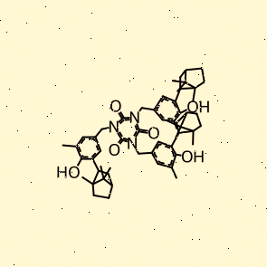 Cc1cc(Cn2c(=O)n(Cc3cc(C)c(O)c(C4CC5CCC4(C)C5(C)C)c3)c(=O)n(Cc3cc(C)c(O)c(C4CC5CCC4(C)C5(C)C)c3)c2=O)cc(C2CC3CCC2(C)C3(C)C)c1O